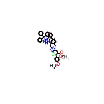 CCCCc1nc(Cl)c(C=C(Cc2ccc(OC)cc2)C(=O)OC)n1Cc1ccc(-c2ccccc2-c2nnnn2C(c2ccccc2)(c2ccccc2)c2ccccc2)cc1